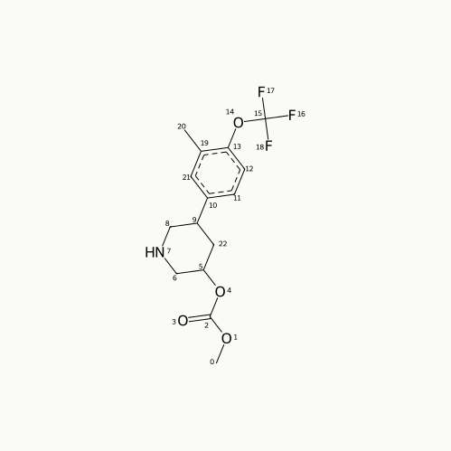 COC(=O)OC1CNCC(c2ccc(OC(F)(F)F)c(C)c2)C1